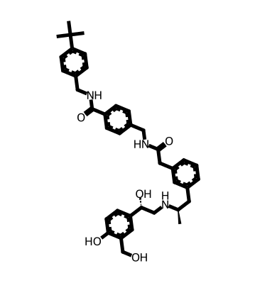 C[C@H](Cc1cccc(CC(=O)NCc2ccc(C(=O)NCc3ccc(C(C)(C)C)cc3)cc2)c1)NC[C@@H](O)c1ccc(O)c(CO)c1